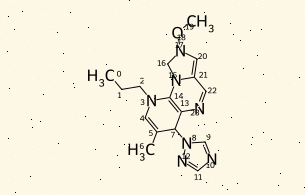 CCCN1C=C(C)C(n2cncn2)C2=C1N1CN(OC)C=C1C=N2